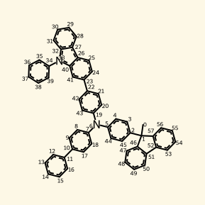 CC1(c2ccc(N(c3ccc(-c4ccccc4)cc3)c3ccc(-c4ccc5c6ccccc6n(-c6ccccc6)c5c4)cc3)cc2)c2ccccc2-c2ccccc21